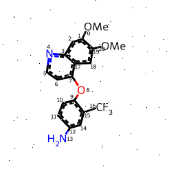 COc1cc2nccc(Oc3ccc(N)cc3C(F)(F)F)c2cc1OC